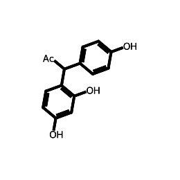 CC(=O)C(c1ccc(O)cc1)c1ccc(O)cc1O